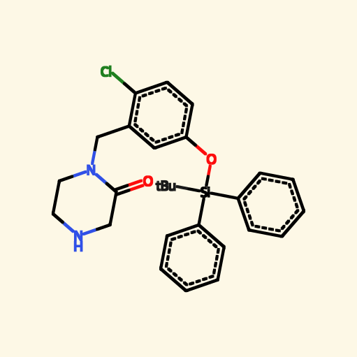 CC(C)(C)[Si](Oc1ccc(Cl)c(CN2CCNCC2=O)c1)(c1ccccc1)c1ccccc1